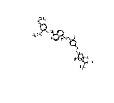 COc1ccc(CNc2nccc3c(NCc4ccc(CCN5C[C@@H]6C[C@H]5CN6C(C)C)cc4F)cccc23)c(OC)c1